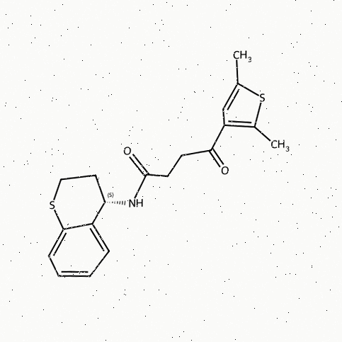 Cc1cc(C(=O)CCC(=O)N[C@H]2CCSc3ccccc32)c(C)s1